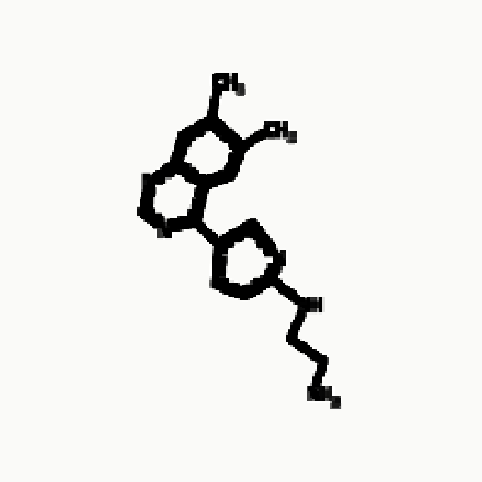 Cc1cc2ncnc(-c3ccc(NCCN)nc3)c2cc1C